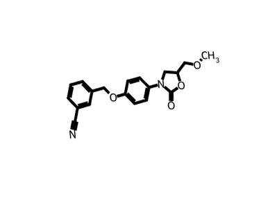 COCC1CN(c2ccc(OCc3cccc(C#N)c3)cc2)C(=O)O1